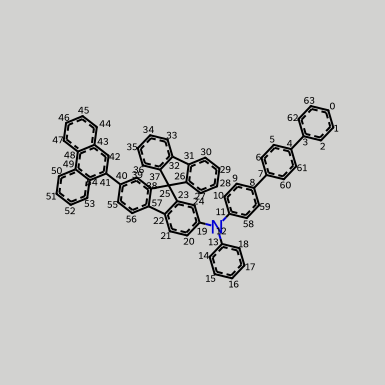 c1ccc(-c2ccc(-c3ccc(N(c4ccccc4)c4ccc5c(c4)C4(c6ccccc6-c6ccccc64)c4cc(-c6cc7ccccc7c7ccccc67)ccc4-5)cc3)cc2)cc1